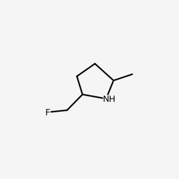 CC1CCC(CF)N1